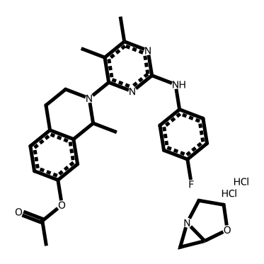 C1CN2CC2O1.CC(=O)Oc1ccc2c(c1)C(C)N(c1nc(Nc3ccc(F)cc3)nc(C)c1C)CC2.Cl.Cl